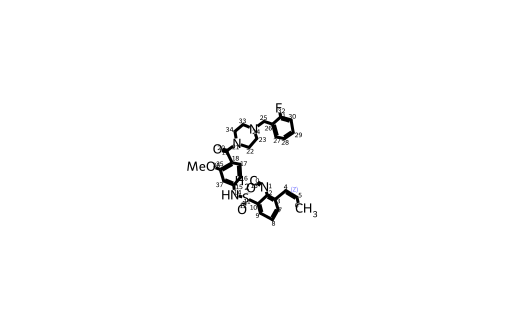 C=Nc1c(/C=C\C)cccc1S(=O)(=O)Nc1ccc(C(=O)N2CCN(Cc3ccccc3F)CC2)c(OC)c1